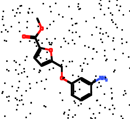 COC(=O)c1ccc(COc2cccc(N)c2)o1